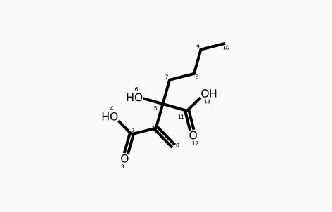 C=C(C(=O)O)C(O)(CCCC)C(=O)O